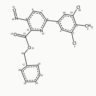 Cc1c(Cl)cc(-c2ccc(N=O)c(C(=O)OCc3ccccc3)n2)cc1Cl